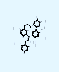 C[C@H](Cc1c(O)cc(O)cc1O)[C@@H](c1cc(O)c(O)c(O)c1)c1c(O)cc(O)c2c1O[C@H](c1cc(O)c(O)c(O)c1)[C@H](C)C2